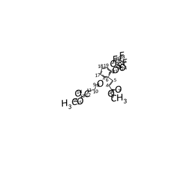 COC(=O)C=Cc1c(OCCCCC(=O)OC)cccc1OS(=O)(=O)C(F)(F)F